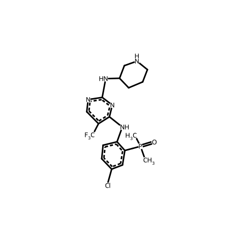 CP(C)(=O)c1cc(Cl)ccc1Nc1nc(NC2CCCNC2)ncc1C(F)(F)F